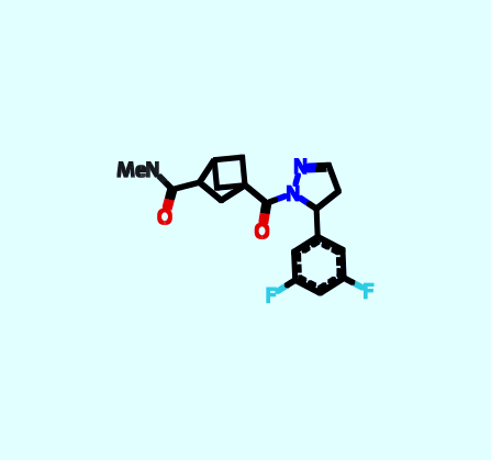 CNC(=O)C1CC2(C(=O)N3N=CCC3c3cc(F)cc(F)c3)CC1C2